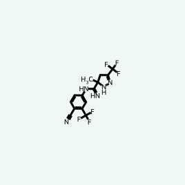 CC1(C(=N)Nc2ccc(C#N)c(C(F)(F)F)c2)CC(C(F)(F)F)=NN1